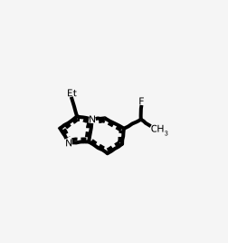 CCc1cnc2ccc(C(C)F)cn12